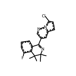 CC1(C)N=C(c2cnn3c(Cl)ccc3c2)c2cccc(F)c2C1(C)C